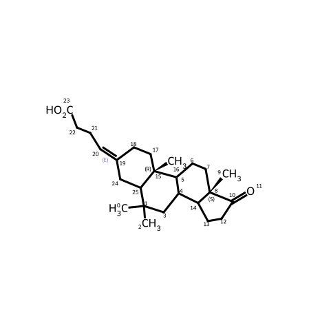 CC1(C)CC2C(CC[C@]3(C)C(=O)CCC23)[C@@]2(C)CC/C(=C\CCC(=O)O)CC12